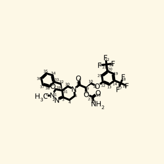 CN1N=C2CCN(C(=O)[C@@H](COc3cc(C(F)(F)F)cc(C(F)(F)F)c3)OC(N)=O)C[C@@]2(Cc2ccccc2)C1=O